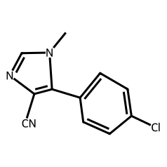 Cn1cnc(C#N)c1-c1ccc(Cl)cc1